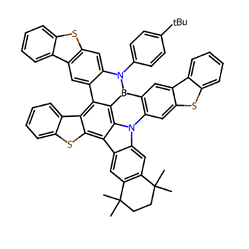 CC(C)(C)c1ccc(N2B3c4cc5c(cc4-n4c6cc7c(cc6c6c8sc9ccccc9c8c(c3c64)-c3cc4c(cc32)sc2ccccc24)C(C)(C)CCC7(C)C)sc2ccccc25)cc1